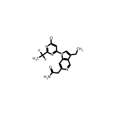 CCc1cn(-c2cc(Cl)nc(C(C)(F)F)n2)c2cc(CC(N)=O)ncc12